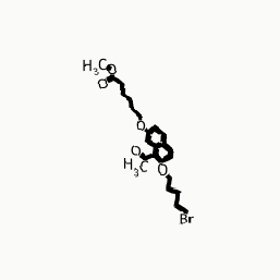 COC(=O)CCCCCOc1ccc2ccc(OCCCCCBr)c(C(C)=O)c2c1